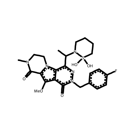 COc1c2n(c3c(C(C)N4CCCCS4(O)O)nn(Cc4ccc(F)cc4)c(=O)c13)CCN(C)C2=O